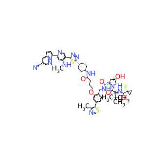 CNc1cc(-c2ccc3cc(C#N)cnn23)ncc1-c1nnc([C@H]2CC[C@H](NC(=O)CCCOc3cc(-c4scnc4C)ccc3CNC(=O)[C@@H]3C[C@@H](O)CN3C(=O)[C@@H](NC(=O)C3(F)CC3)C(C)(C)C)CC2)s1